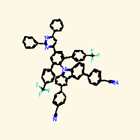 N#Cc1ccc(-c2ccc3c(c2)c2cc(-c4ccc(C#N)cc4)ccc2n3-c2c(-c3ccc(C(F)(F)F)cc3)cc(-c3cc(-c4ccccc4)nc(-c4ccccc4)n3)cc2-c2ccc(C(F)(F)F)cc2)cc1